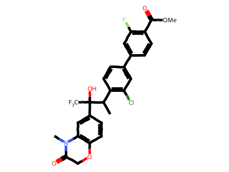 COC(=O)c1ccc(-c2ccc(C(C)C(O)(c3ccc4c(c3)N(C)C(=O)CO4)C(F)(F)F)c(Cl)c2)cc1F